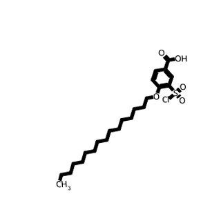 CCCCCCCCCCCCCCCCOc1ccc(C(=O)O)cc1S(=O)(=O)Cl